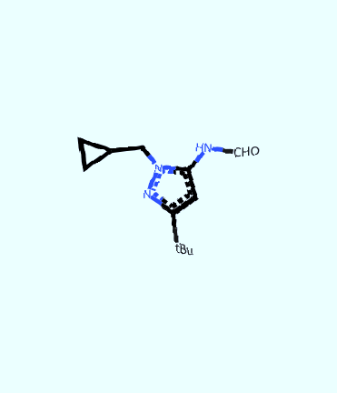 CC(C)(C)c1cc(NC=O)n(CC2CC2)n1